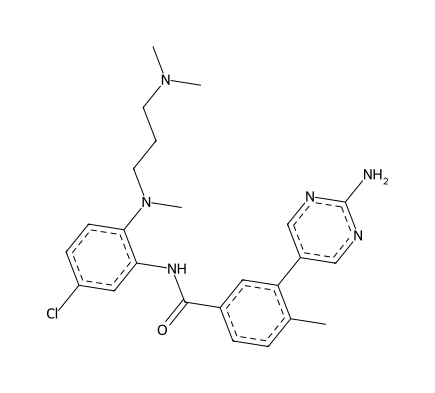 Cc1ccc(C(=O)Nc2cc(Cl)ccc2N(C)CCCN(C)C)cc1-c1cnc(N)nc1